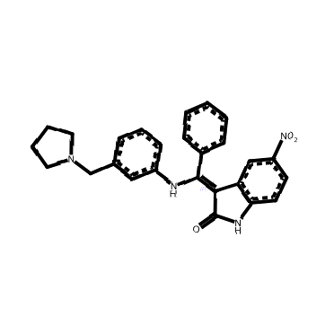 O=C1Nc2ccc([N+](=O)[O-])cc2/C1=C(/Nc1cccc(CN2CCCC2)c1)c1ccccc1